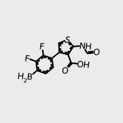 Bc1ccc(-c2csc(NC=O)c2C(=O)O)c(F)c1F